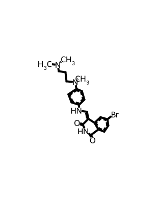 CN(C)CCCN(C)c1ccc(N/C=C2\C(=O)NC(=O)c3ccc(Br)cc32)cc1